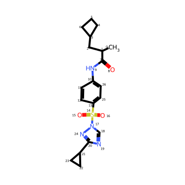 CC(CC1CCC1)C(=O)Nc1ccc(S(=O)(=O)n2cnc(C3CC3)n2)cc1